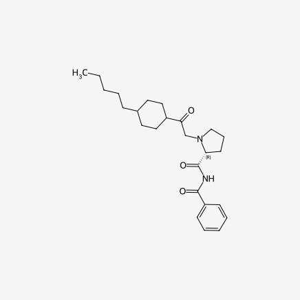 CCCCCC1CCC(C(=O)CN2CCC[C@@H]2C(=O)NC(=O)c2ccccc2)CC1